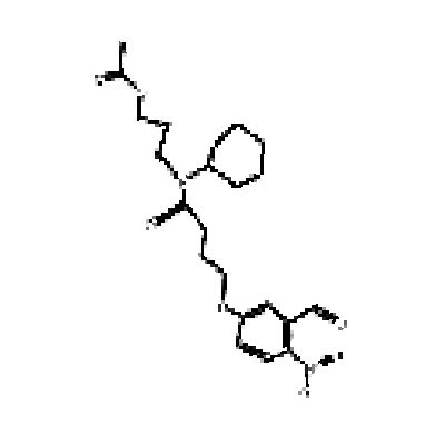 CC(=O)OCCCN(C(=O)CCCOc1ccc([N+](=O)[O-])c(C=O)c1)C1CCCCC1